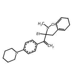 C=C(c1ccc(N2CCCCC2)cc1)C(CC)(CC1=CCCC=C1)N(C)C